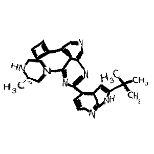 C[C@H]1CN(c2nc(-c3ccnc4[nH]c(C(C)(C)C)cc34)nc3cncc(C4=CC=C4)c23)CCN1